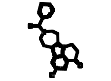 O=C1CCn2c3c(c4cc(Cl)cc1c42)CCN(C(=O)c1ccccc1)CC3